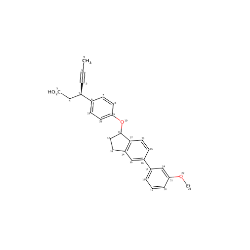 CC#C[C@H](CC(=O)O)c1ccc(OC2CCc3cc(-c4cccc(OCC)c4)ccc32)cc1